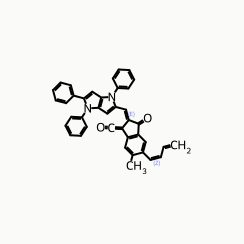 C=C/C=C\c1cc2c(cc1C)C(=C=O)/C(=C\c1cc3c(cc(-c4ccccc4)n3-c3ccccc3)n1-c1ccccc1)C2=O